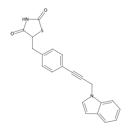 O=C1NC(=O)C(Cc2ccc(C#CCn3ccc4ccccc43)cc2)S1